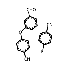 N#Cc1ccc(F)cc1.N#Cc1ccc(Oc2cccc(C=O)c2)cc1